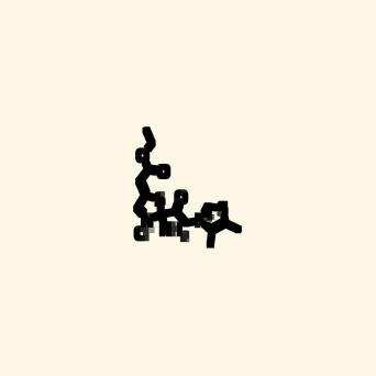 CCOC(=O)C=C1C=NC(N)(C(=O)C[n+]2csc(C)c2C)S1.[Cl-]